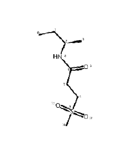 CC[C@@H](C)NC(=O)CCS(C)(=O)=O